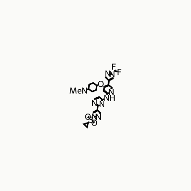 CNC1CCC(Oc2cc(Nc3ccnc(-c4cnn(S(=O)(=O)C5CC5)c4)n3)ncc2-c2cnn(C(F)F)c2)CC1